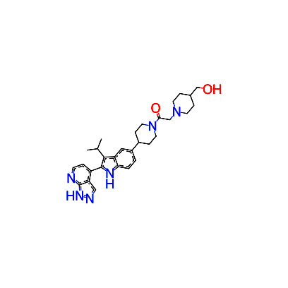 CC(C)c1c(-c2ccnc3[nH]ncc23)[nH]c2ccc(C3CCN(C(=O)CN4CCC(CO)CC4)CC3)cc12